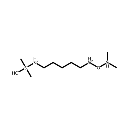 C[SiH](C)O[SiH2]CCCCC[SiH2][Si](C)(C)O